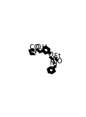 CCn1c(COc2cccc(CC(=O)N3CCC[C@@H]3C(=O)O)c2)nn(Cc2ccccc2)c1=O